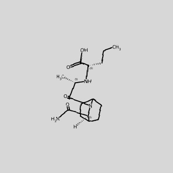 CCC[C@H](N[C@@H](C)C(=O)N1C2CCC(CC2)[C@H]1C(N)=O)C(=O)O